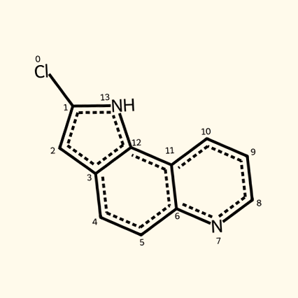 Clc1cc2ccc3ncccc3c2[nH]1